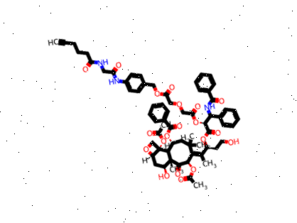 C#CCCCC(=O)NCC(=O)Nc1ccc(COC(=O)COCC(=O)O[C@@H](C(=O)O[C@@H](CCO)/C(C)=C2/[C@@H](OC(C)=O)C(=O)[C@@]3(C)[C@H]([C@H](OC(=O)c4ccccc4)CC2(C)C)[C@]2(OC(C)=O)CO[C@@H]2C[C@@H]3O)C(NC(=O)c2ccccc2)c2ccccc2)cc1